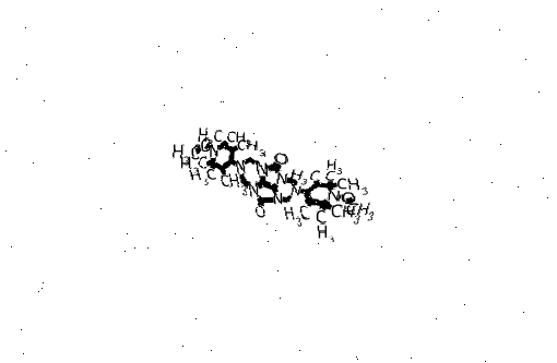 CON1C(C)(C)C(C)C(N2CN3C(=O)N4CN(C5C(C)C(C)(C)N(OC)C(C)(C)C5C)CN5C(=O)N(C2)C3C45)C(C)C1(C)C